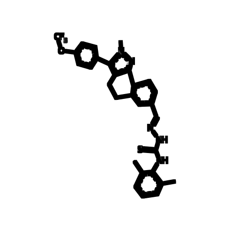 Cc1cccc(C)c1NC(=S)NN=Cc1ccc2c(c1)CCc1c-2nn(C)c1-c1ccc(OC(F)(F)F)cc1